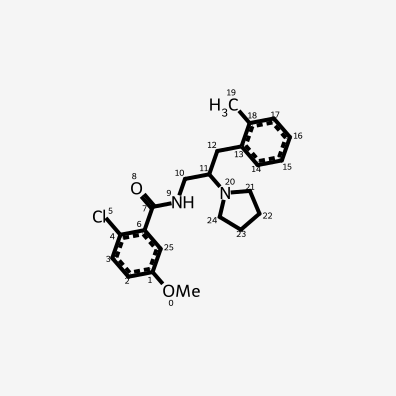 COc1ccc(Cl)c(C(=O)NCC(Cc2ccccc2C)N2CCCC2)c1